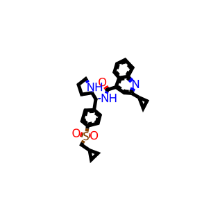 O=C(N[C@H](c1ccc(S(=O)(=O)CC2CC2)cc1)C1CCCN1)c1cc(C2CC2)nc2ccccc12